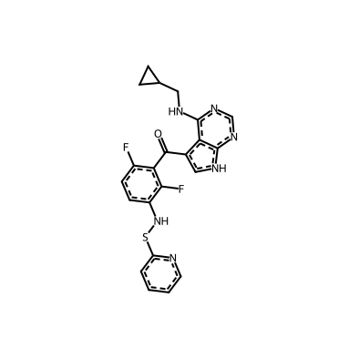 O=C(c1c(F)ccc(NSc2ccccn2)c1F)c1c[nH]c2ncnc(NCC3CC3)c12